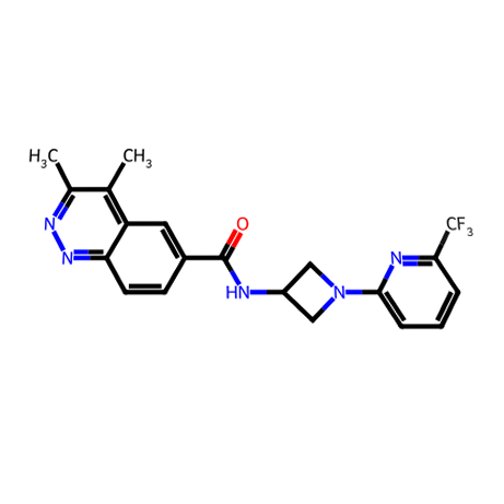 Cc1nnc2ccc(C(=O)NC3CN(c4cccc(C(F)(F)F)n4)C3)cc2c1C